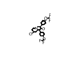 O=c1c(-c2ccc(OC(F)F)cc2)cn2ccc(Cl)cc2c1-c1ccc(OC(F)F)cc1